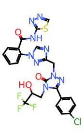 O=C(Nc1nncs1)c1ccccc1-n1cnc(Cn2nc(-c3ccc(Cl)cc3)n(CC(O)C(F)(F)F)c2=O)n1